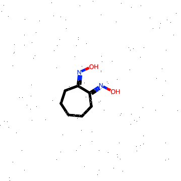 ON=C1CCCCCC1=NO